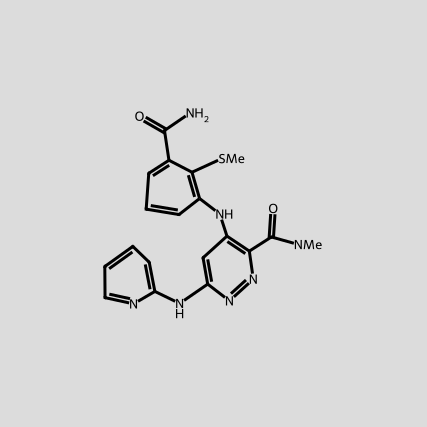 CNC(=O)c1nnc(Nc2ccccn2)cc1Nc1cccc(C(N)=O)c1SC